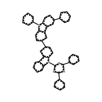 c1ccc(-c2ccc3c(c2)c2cc(-c4ccc5c(c4)c4ccccc4n5-c4nc(-c5ccccc5)nc(-c5ccccc5)n4)ccc2n3-c2ccccc2)cc1